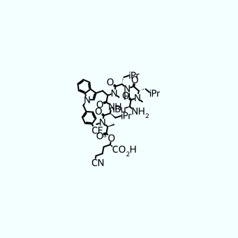 CCCC[C@H](N)C(=O)N(C)[C@@H](CC(C)C)C(=O)N[C@@H](CC(C)C)C(=O)N(C)C(Cc1cn(Cc2ccc(C(F)(F)F)cc2)c2ccccc12)C(=O)N[C@@H](CC(C)C)C(=O)N(C)[C@@H](C)C(=O)O[C@H](CCCC#N)C(=O)O